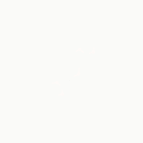 COC(=CCOCC=C(OC)OC)OC